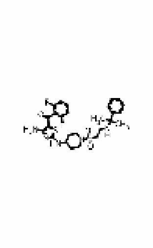 CC(C)(NCCS(=O)(=O)N1CCC(Nc2nc(N)c(C(=O)c3c(F)cccc3F)s2)CC1)c1ccccc1